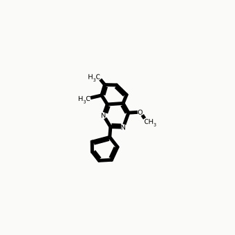 COc1nc(-c2ccccc2)nc2c(C)c(C)ccc12